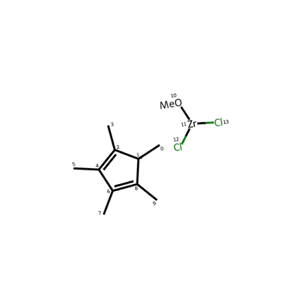 C[C]1C(C)=C(C)C(C)=C1C.C[O][Zr]([Cl])[Cl]